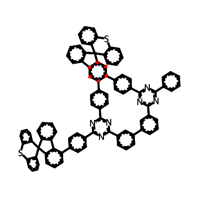 c1ccc(-c2ccc(-c3nc(-c4ccc(-c5cccc6c5-c5ccccc5C65c6ccccc6Sc6ccccc65)cc4)nc(-c4cccc(-c5cccc(-c6nc(-c7ccccc7)nc(-c7ccc(-c8ccc9c(c8)C8(c%10ccccc%10Sc%10ccccc%108)c8ccccc8-9)cc7)n6)c5)c4)n3)cc2)cc1